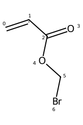 C=[C]C(=O)OCBr